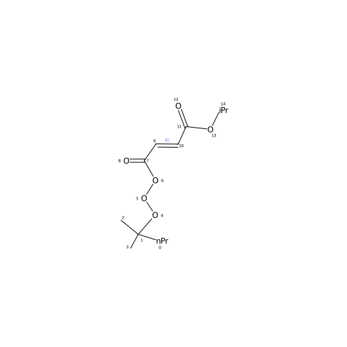 CCCC(C)(C)OOOC(=O)/C=C/C(=O)OC(C)C